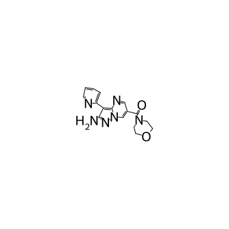 Nc1nn2cc(C(=O)N3CCOCC3)cnc2c1-c1ccccn1